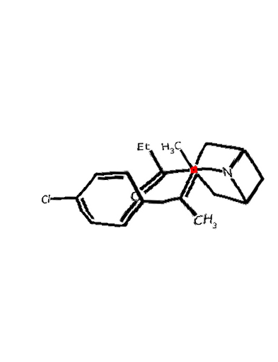 CCC(=O)N1CC2CC(C1)N2C(C)=C(C)c1ccc(Cl)cc1